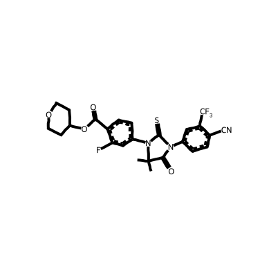 CC1(C)C(=O)N(c2ccc(C#N)c(C(F)(F)F)c2)C(=S)N1c1ccc(C(=O)OC2CCOCC2)c(F)c1